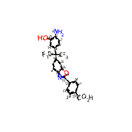 Nc1ccc(C(c2ccc3nc(-c4ccc(C(=O)O)cc4)oc3c2)(C(F)(F)F)C(F)(F)F)cc1O